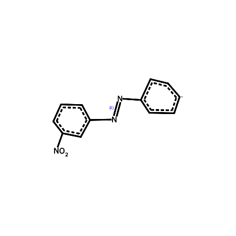 O=[N+]([O-])c1cccc(/N=N/c2cc[c]cc2)c1